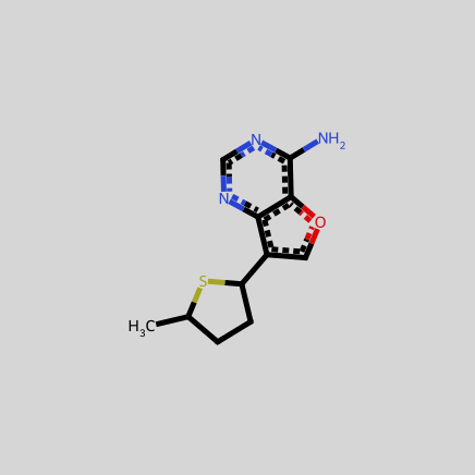 CC1CCC(c2coc3c(N)ncnc23)S1